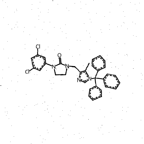 Cc1c(CN2CCN(c3cc(Cl)cc(Cl)c3)C2=O)ncn1C(c1ccccc1)(c1ccccc1)c1ccccc1